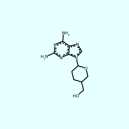 Nc1nc(N)c2ncn(C3CCC(CO)CO3)c2n1